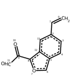 C=Cc1ccc2coc(C(=O)C=O)c2c1